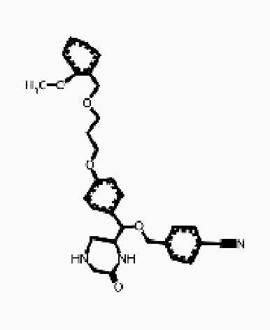 COc1ccccc1COCCCOc1ccc(C(OCc2ccc(C#N)cc2)C2CNCC(=O)N2)cc1